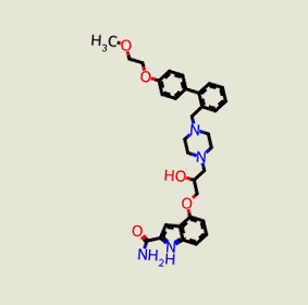 COCCOc1ccc(-c2ccccc2CN2CCN(CC(O)COc3cccc4[nH]c(C(N)=O)cc34)CC2)cc1